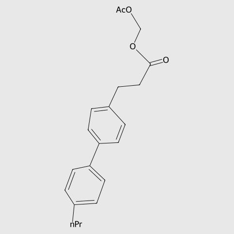 CCCc1ccc(-c2ccc(CCC(=O)OCOC(C)=O)cc2)cc1